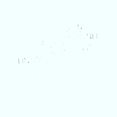 CC(=O)Nc1cc(-c2cc(F)c(OC[C@H](CC(C)C)OC(=O)NC(C)(C)C)cc2F)ccn1